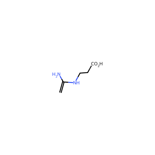 C=C(N)NCCC(=O)O